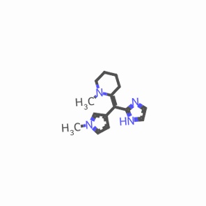 CN1CCCCC1=C(c1ccn(C)c1)c1ncc[nH]1